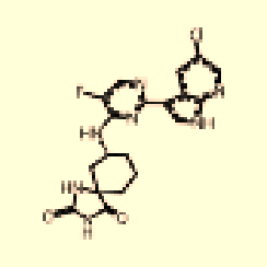 O=C1NC(=O)[C@]2(CCC[C@H](Nc3nc(-c4c[nH]c5ncc(Cl)cc45)ncc3F)C2)N1